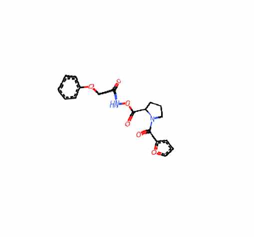 O=C(COc1ccccc1)NOC(=O)C1CCCN1C(=O)c1ccco1